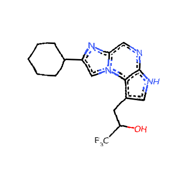 OC(Cc1c[nH]c2ncc3nc(C4CCCCC4)cn3c12)C(F)(F)F